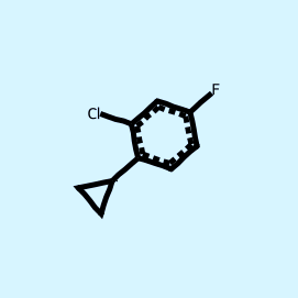 Fc1ccc([C]2CC2)c(Cl)c1